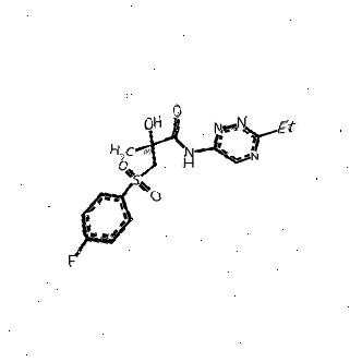 CCc1ncc(NC(=O)[C@@](C)(O)CS(=O)(=O)c2ccc(F)cc2)nn1